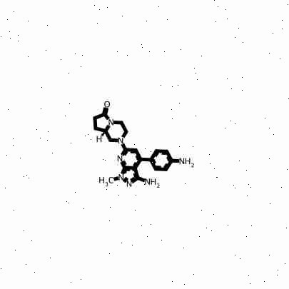 Cn1nc(N)c2c(-c3ccc(N)cc3)cc(N3CCN4C(=O)CC[C@H]4C3)nc21